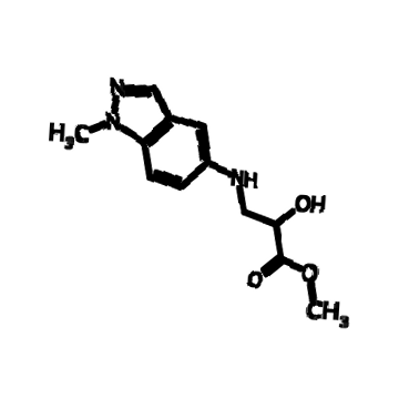 COC(=O)C(O)CNc1ccc2c(cnn2C)c1